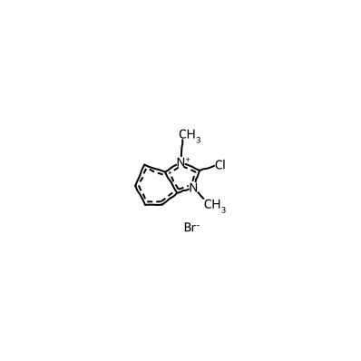 Cn1c(Cl)[n+](C)c2ccccc21.[Br-]